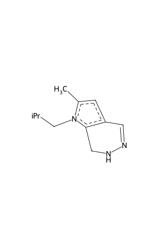 Cc1cc2c(n1CC(C)C)CNN=C2